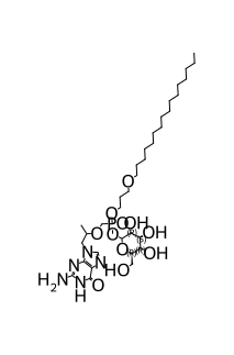 CCCCCCCCCCCCCCCCOCCCOP(=O)(COC(C)Cn1cnc2c(=O)[nH]c(N)nc21)OC1O[C@H](CO)[C@H](O)[C@H](O)[C@H]1O